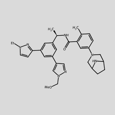 CCn1ccc(-c2cc(-c3cnn(COC)c3)cc([C@@H](C)NC(=O)c3cc(N4CC5CCC(C4)N5)ccc3C)c2)n1